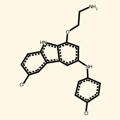 NCCOc1cc(Nc2ccc(Cl)cc2)cc2c1[nH]c1ccc(Cl)cc12